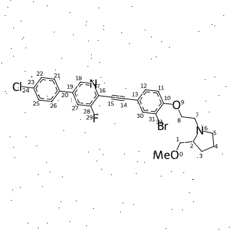 COCC1CCCN1CCOc1ccc(C#Cc2ncc(-c3ccc(Cl)cc3)cc2F)cc1Br